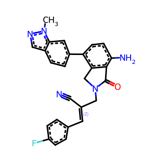 Cn1ncc2ccc(-c3ccc(N)c4c3CN(C/C(C#N)=C/c3ccc(F)cc3)C4=O)cc21